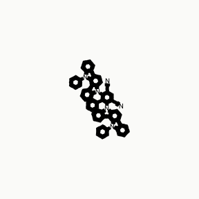 N#Cc1cc(C#N)c(-n2c3ccccc3c3c2ccc2c4ccccc4n(-c4ccccc4)c23)c(-c2ccccc2)c1-n1c2ccccc2c2c1ccc1c3ccccc3n(-c3ccccc3)c12